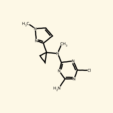 CN(c1nc(N)nc(Cl)n1)C1(c2ccn(C)n2)CC1